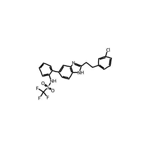 O=S(=O)(Nc1ccccc1-c1ccc2[nH]c(CCc3cccc(Cl)c3)nc2c1)C(F)(F)F